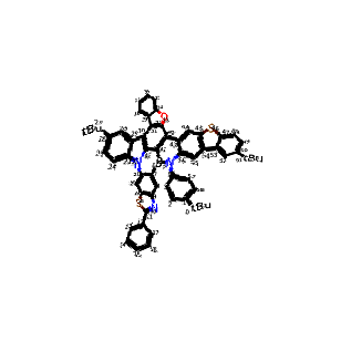 CC(C)(C)c1ccc(N2B3c4cc5nc(-c6ccccc6)sc5cc4-n4c5ccc(C(C)(C)C)cc5c5c6c(oc7ccccc76)c(c3c54)-c3cc4sc5ccc(C(C)(C)C)cc5c4cc32)cc1